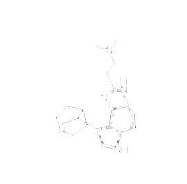 CN(C)CCc1nc2c(ccc3[nH]cc(C4CN5CCC4CC5)c32)[nH]1